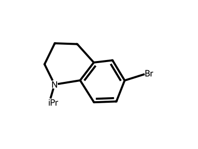 CC(C)N1CCCc2cc(Br)ccc21